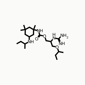 CCC(C)NC1CC(C)(C)CC(C)(NC(=O)OCC(COC(C)CC)NC(=N)N)C1